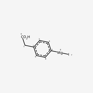 O=C(O)Cc1cc[c]([Mg][I])cc1